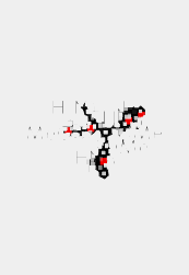 COCCOCCOCCN(CC(C)(C)CCCC(N)=O)c1cc(COc2cc3c(cc2OC)C(=O)N2c4ccccc4C[C@H]2C=N3)cc(COc2cc3c(cc2OC)C(=O)N2c4ccccc4C[C@H]2CN3)c1